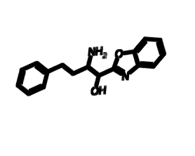 NC(CCc1ccccc1)C(O)c1nc2ccccc2o1